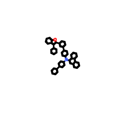 c1ccc(-c2ccc(N(c3ccc(-c4cccc(-c5oc6ccccc6c5-c5ccccc5)c4)cc3)c3cc4ccccc4c4ccccc34)cc2)cc1